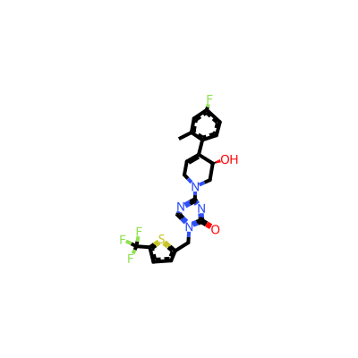 Cc1cc(F)ccc1C1=CCN(c2ncn(Cc3ccc(C(F)(F)F)s3)c(=O)n2)C[C@@H]1O